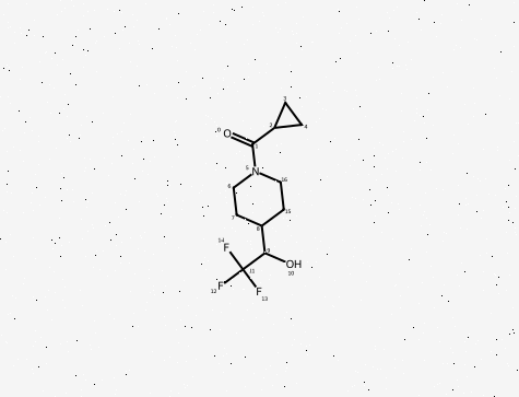 O=C(C1CC1)N1CCC(C(O)C(F)(F)F)CC1